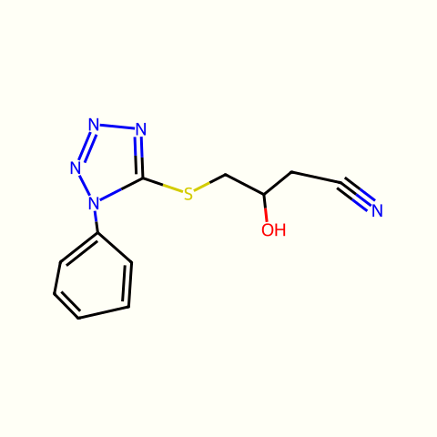 N#CCC(O)CSc1nnnn1-c1ccccc1